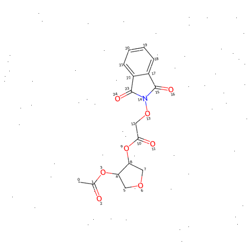 CC(=O)OC1COCC1OC(=O)CON1C(=O)c2ccccc2C1=O